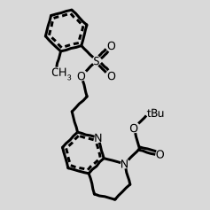 Cc1ccccc1S(=O)(=O)OCCc1ccc2c(n1)N(C(=O)OC(C)(C)C)CCC2